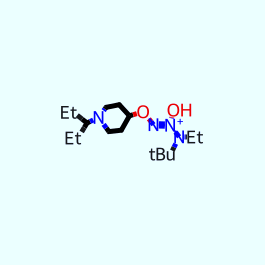 CCC(CC)N1CCC(O/N=[N+](\O)N(CC)C(C)(C)C)CC1